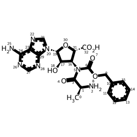 C[C@H](N)C(=O)N(C(=O)OCc1ccccc1)[C@H]1[C@@H](O)[C@H](n2cnc3c(N)ncnc32)O[C@@H]1C(=O)O